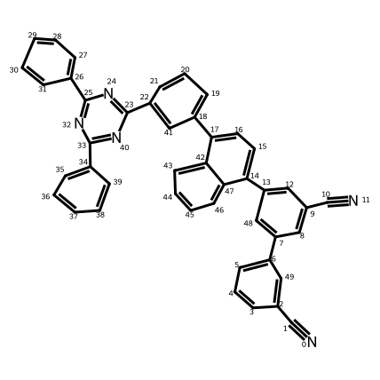 N#Cc1cccc(-c2cc(C#N)cc(-c3ccc(-c4cccc(-c5nc(-c6ccccc6)nc(-c6ccccc6)n5)c4)c4ccccc34)c2)c1